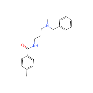 Cc1ccc(C(=O)NCCCN(C)Cc2ccccc2)cc1